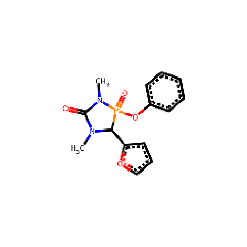 CN1C(=O)N(C)P(=O)(Oc2ccccc2)C1c1ccco1